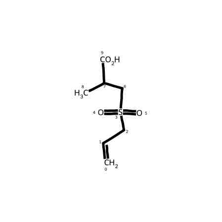 C=CCS(=O)(=O)CC(C)C(=O)O